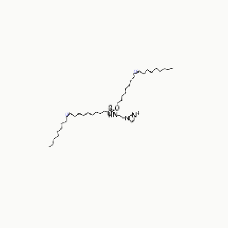 CCCCCCCC/C=C\CCCCCCCCOP(=O)(NCCn1cc[n+](C)c1)OCCCCCCCC/C=C\CCCCCCCC